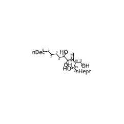 CCCCCCCCCCCCCCC(O)C(O)NC(CO)C(O)CCCCCCC